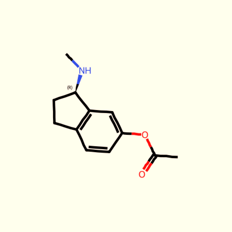 CN[C@@H]1CCc2ccc(OC(C)=O)cc21